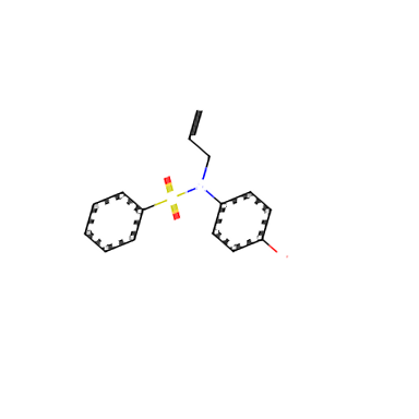 C=CCN(c1ccc(O)cc1)S(=O)(=O)c1ccccc1